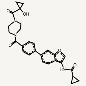 O=C(Nc1coc2cc(-c3ccc(C(=O)N4CCN(C(=O)C5(O)CC5)CC4)cc3)ccc12)C1CC1